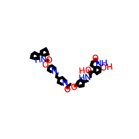 O=C(Nc1ccccc1-c1ccccc1)OC1CCN(CCC2CCN(C(=O)COc3ccc(CNC[C@H](O)c4ccc(O)c5[nH]c(=O)ccc45)cc3)CC2)CC1